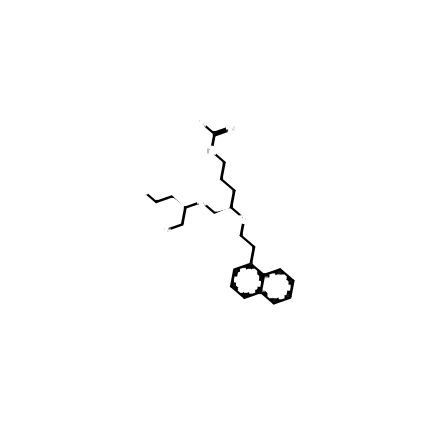 CCC[C@H](CN)NC[C@@H](CCCNC(=N)N)NCCc1cccc2ccccc12